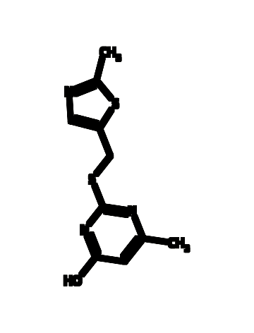 Cc1cc(O)nc(SCc2cnc(C)s2)n1